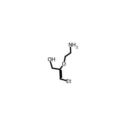 CCC=C(CO)OCCN